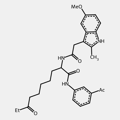 CCC(=O)CCCCCC(NC(=O)Cc1c(C)[nH]c2ccc(OC)cc12)C(=O)Nc1cccc(C(C)=O)c1